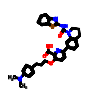 CN(C)c1ccc(CCCOc2ccc(-c3ccc4c(c3)N(C(=O)Nc3nc5ccccc5s3)CCC4)nc2C(=O)O)cc1